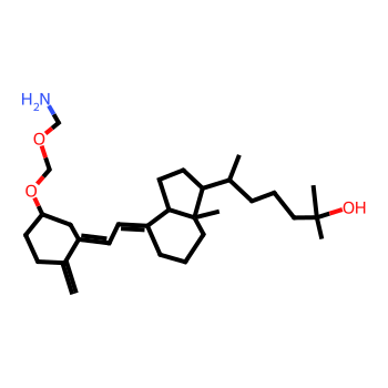 C=C1CCC(OCOCN)CC1=CC=C1CCCC2(C)C1CCC2C(C)CCCC(C)(C)O